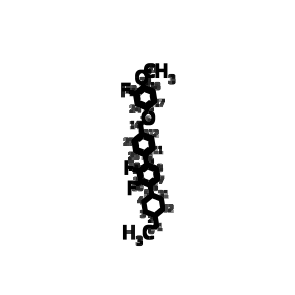 CCC1CCC(c2ccc(-c3ccc(COc4ccc(OC)c(F)c4)cc3)c(F)c2F)CC1